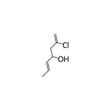 C=C(Cl)CC(O)C=CC